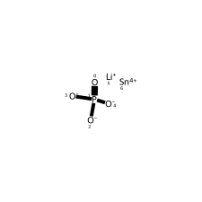 O=P([O-])([O-])[O-].[Li+].[Sn+4]